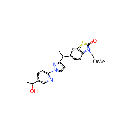 COCn1c(=O)sc2cc(C(C)c3ccn(-c4ccc(C(C)O)cn4)n3)ccc21